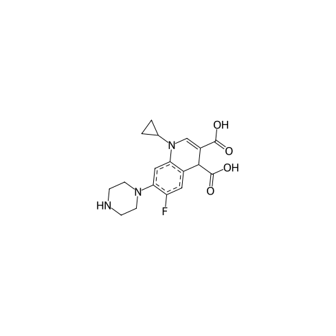 O=C(O)C1=CN(C2CC2)c2cc(N3CCNCC3)c(F)cc2C1C(=O)O